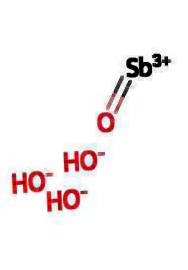 [OH-].[OH-].[OH-].[O]=[Sb+3]